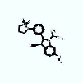 COc1ccc2c(c1)N(C(C)C)C(c1cccc(N3CCCS3(=O)=O)c1)C2C#N